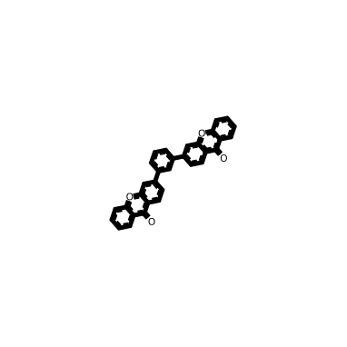 O=c1c2ccccc2oc2cc(-c3cccc(-c4ccc5c(=O)c6ccccc6oc5c4)c3)ccc12